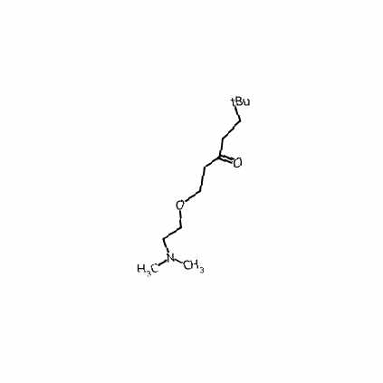 CN(C)CCOCCC(=O)CCC(C)(C)C